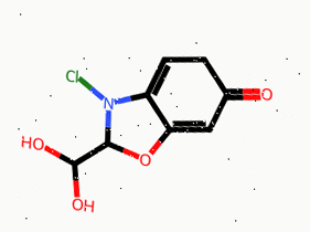 O=C1C=C2OC(C(O)O)N(Cl)C2=CC1